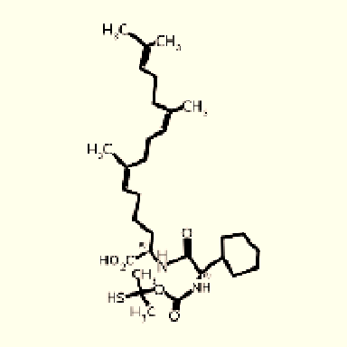 CC(C)=CCCC(C)=CCCC(C)=CCCC[C@@H](NC(=O)[C@@H](NC(=O)OC(C)(C)S)C1CCCCC1)C(=O)O